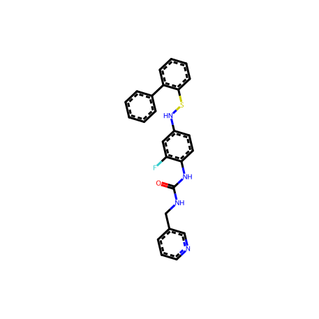 O=C(NCc1cccnc1)Nc1ccc(NSc2ccccc2-c2ccccc2)cc1F